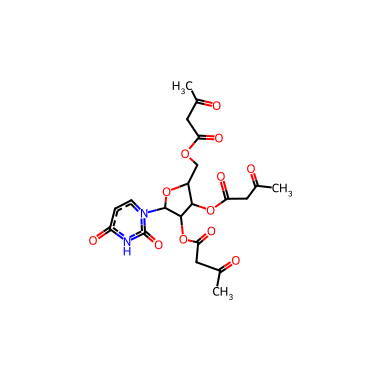 CC(=O)CC(=O)OCC1OC(n2ccc(=O)[nH]c2=O)C(OC(=O)CC(C)=O)C1OC(=O)CC(C)=O